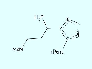 CCCCCc1ccsc1C(C)CCNC